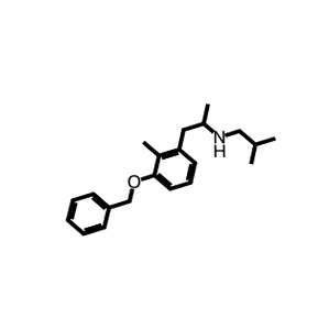 Cc1c(CC(C)NCC(C)C)cccc1OCc1ccccc1